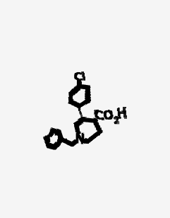 O=C(O)[C@H]1CCN(Cc2ccccc2)C[C@@H]1C1C=CC(Cl)=CC1